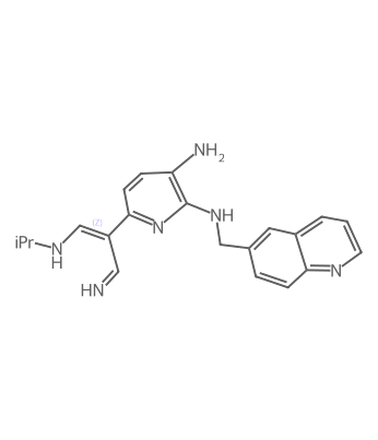 CC(C)N/C=C(\C=N)c1ccc(N)c(NCc2ccc3ncccc3c2)n1